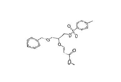 COC(=O)/C=C/OC(COCc1ccccc1)COS(=O)(=O)c1ccc(C)cc1